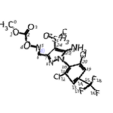 COC(=O)O/N=C/c1nn(-c2c(Cl)cc(C(F)(F)F)cc2Cl)c(N)c1[S+](C)[O-]